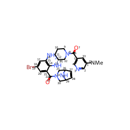 CNc1cncc(C(=O)N2CCC[C@@H](Nc3c(N)cc(Br)cc3C(=O)N3CC4C=CC(C3)N4)C2)c1